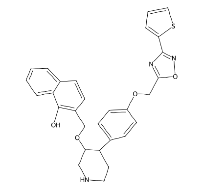 Oc1c(COC2CNCCC2c2ccc(OCc3nc(-c4cccs4)no3)cc2)ccc2ccccc12